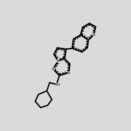 c1cnc2ccc(-c3ccn4nc(NCC5CCCCC5)ncc34)cc2c1